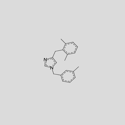 Cc1cccc(Cn2cnc(Cc3c(C)cccc3C)c2)c1